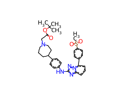 CC(C)(C)OC(=O)CN1CCCC(c2ccc(Nc3nc4cccc(-c5ccc(S(C)(=O)=O)cc5)n4n3)cc2)CC1